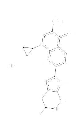 Br.CC1Cc2cc(-c3ccc4c(=O)c(C(=O)O)cn(C5CC5)c4n3)sc2CN1